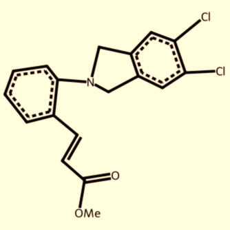 COC(=O)C=Cc1ccccc1N1Cc2cc(Cl)c(Cl)cc2C1